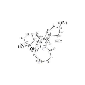 C=C1CC/C=C\CC/C([C@@H](CC(C)C2CCC(C(C)(C)C)CC2C(C)C)C2C=CC[C@@H](O)C2O)=C\1CC(C)C(=C)C